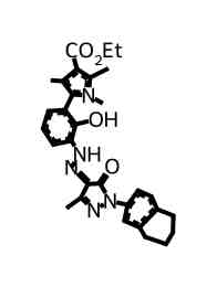 CCOC(=O)c1c(C)c(-c2cccc(NN=C3C(=O)N(c4ccc5c(c4)CCCC5)N=C3C)c2O)n(C)c1C